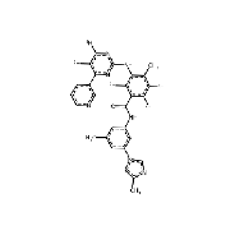 [2H]c1nc(Nc2c([2H])c(C(=O)Nc3cc(C)cc(-n4cnc(C)c4)c3)c([2H])c([2H])c2C)nc(-c2cccnc2)c1[2H]